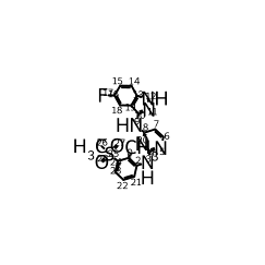 Cc1c(Nc2nccc(Nc3n[nH]c4ccc(F)cc34)n2)cccc1S(C)(=O)=O